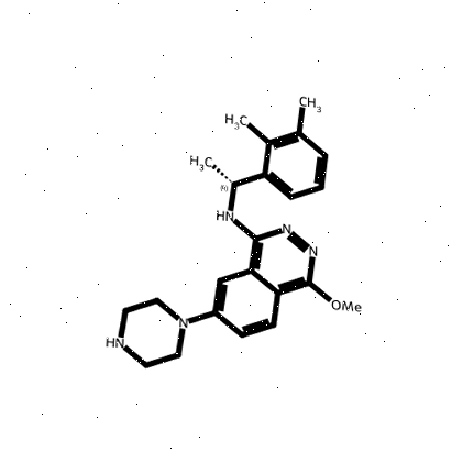 COc1nnc(N[C@H](C)c2cccc(C)c2C)c2cc(N3CCNCC3)ccc12